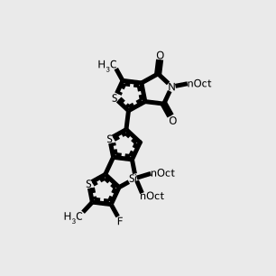 CCCCCCCCN1C(=O)c2c(C)sc(-c3cc4c(s3)-c3sc(C)c(F)c3[Si]4(CCCCCCCC)CCCCCCCC)c2C1=O